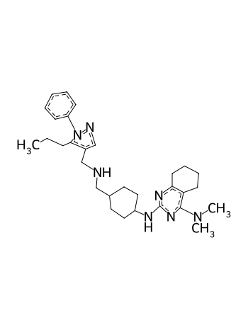 CCCc1c(CNCC2CCC(Nc3nc4c(c(N(C)C)n3)CCCC4)CC2)cnn1-c1ccccc1